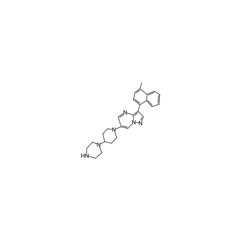 Cc1ccc(-c2cnn3cc(N4CCC(N5CCNCC5)CC4)cnc23)c2ccccc12